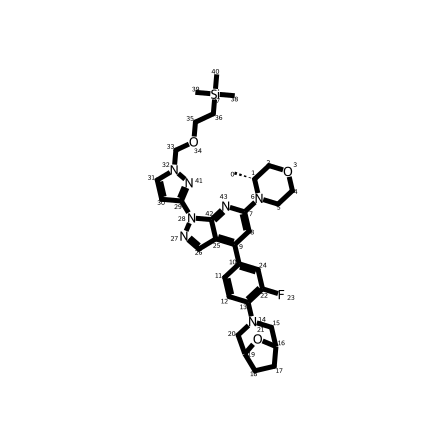 C[C@@H]1COCCN1c1cc(-c2ccc(N3CC4CCC(C3)O4)c(F)c2)c2cnn(-c3ccn(COCC[Si](C)(C)C)n3)c2n1